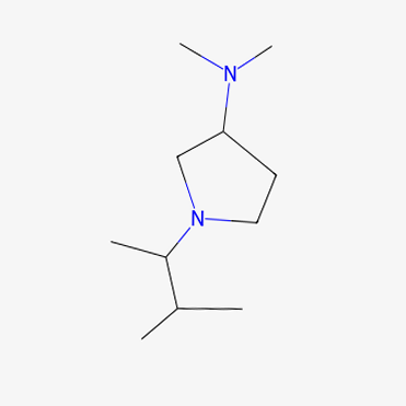 CC(C)C(C)N1CCC(N(C)C)C1